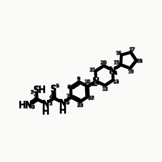 N=C(S)NC(=S)Nc1ccc(N2CCN(C3CCCC3)CC2)cc1